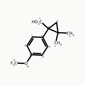 CC1(C)CC1(C(=O)O)c1ccc(OC(F)(F)F)cc1